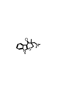 CN(C)CC1(C)CSc2c(c3ccccc3n2C)C1=O